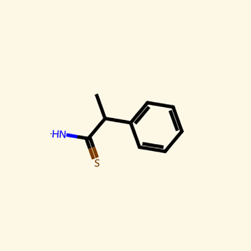 CC(C([NH])=S)c1ccccc1